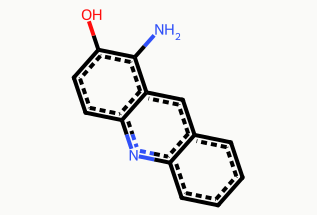 Nc1c(O)ccc2nc3ccccc3cc12